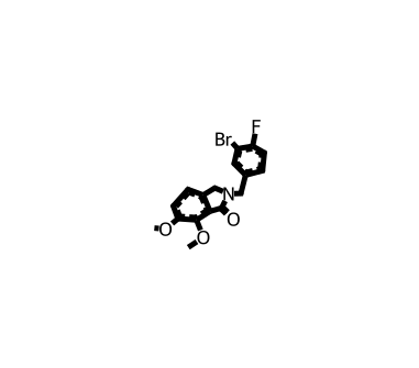 COc1ccc2c(c1OC)C(=O)N(Cc1ccc(F)c(Br)c1)C2